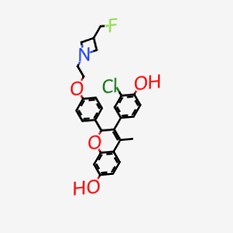 CC1=C(c2ccc(O)c(Cl)c2)C(c2ccc(OCCN3CC(CF)C3)cc2)Oc2cc(O)ccc21